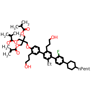 C=C(C)C(=O)OCC(COC(=O)C(=C)C)(COC(=O)C(=C)C)COc1ccc(-c2cc(CC)c(-c3ccc(C4CCC(CCCCC)CC4)cc3F)cc2CCCO)cc1CCCO